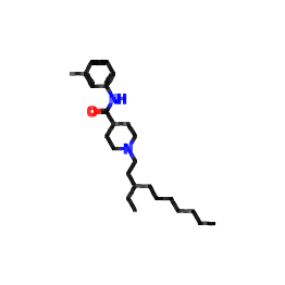 CCCCCCCC(CC)CCN1CCC(C(=O)Nc2cccc(C)c2)CC1